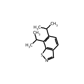 CC(C)c1ccc2cnsc2c1C(C)C